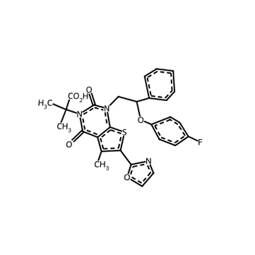 Cc1c(-c2ncco2)sc2c1c(=O)n(C(C)(C)C(=O)O)c(=O)n2CC(Oc1ccc(F)cc1)c1ccccc1